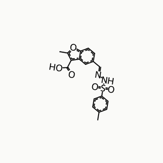 Cc1ccc(S(=O)(=O)NN=Cc2ccc3oc(C)c(C(=O)O)c3c2)cc1